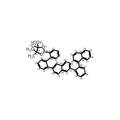 CC1(C)OB(c2ccccc2-c2ccccc2-c2ccc3cc(-c4ccccc4-c4cccc5ccccc45)ccc3c2)OC1(C)C